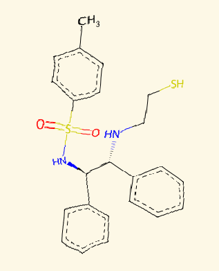 Cc1ccc(S(=O)(=O)N[C@H](c2ccccc2)[C@H](NCCS)c2ccccc2)cc1